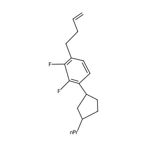 C=CCCc1ccc(C2CCC(CCC)C2)c(F)c1F